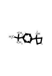 CC(C)(C)c1ccc(C2(O)C[CH]C2)cc1